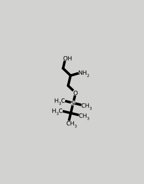 CC(C)(C)[Si](C)(C)OCC(N)CO